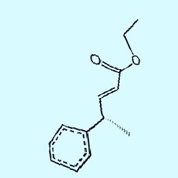 CCOC(=O)/C=C/[C@H](C)c1ccccc1